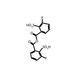 O=C(OC(=O)c1cccc(F)c1S(=O)(=O)O)c1cccc(F)c1S(=O)(=O)O